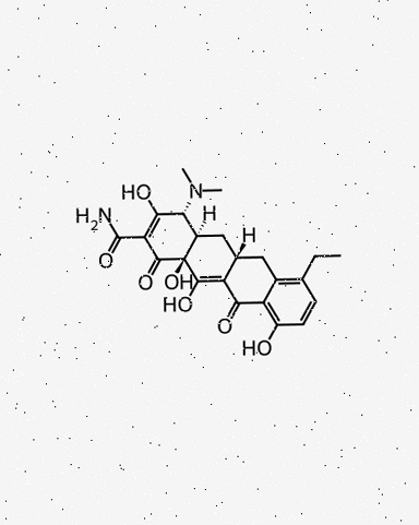 CCc1ccc(O)c2c1C[C@H]1C[C@@H]3[C@@H](N(C)C)C(O)=C(C(N)=O)C(=O)[C@@]3(O)C(O)=C1C2=O